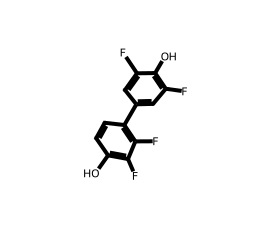 Oc1ccc(-c2cc(F)c(O)c(F)c2)c(F)c1F